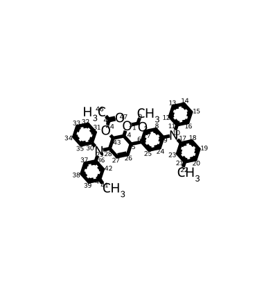 CC(=O)OC1C(c2ccc(N(c3ccccc3)c3cccc(C)c3)cc2)C=CC(N(c2ccccc2)c2cccc(C)c2)C1OC(C)=O